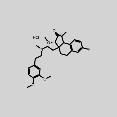 COc1ccc(CCN(C)CCC2([C@H](OC)C(=O)O)CCc3cc(F)ccc3C2C(C)C)cc1OC.Cl